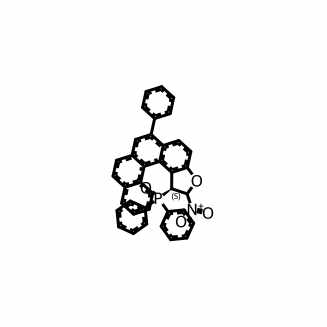 O=[N+]([O-])C1Oc2ccc3c(-c4ccccc4)cc4ccc5ccccc5c4c3c2[C@@H]1P(=O)(c1ccccc1)c1ccccc1